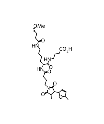 COSCCC(=O)NCCCC[C@H](NC(=O)CCCN1C(=O)C(C)C(C2C=CC(C)O2)C1=O)C(=O)NCCCC(=O)O